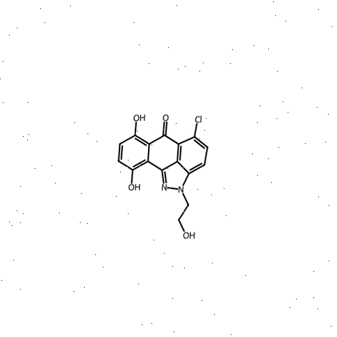 O=C1c2c(O)ccc(O)c2-c2nn(CCO)c3ccc(Cl)c1c23